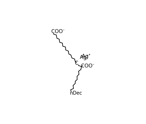 CCCCCCCCCCCCCCCCCCCCC(CCCCCCCCCCCCCCCCCC(=O)[O-])C(=O)[O-].[Ag+].[Ag+]